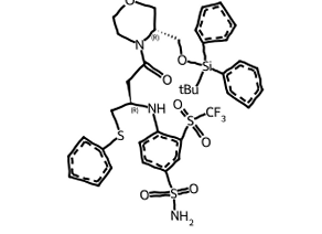 CC(C)(C)[Si](OC[C@H]1COCCN1C(=O)C[C@H](CSc1ccccc1)Nc1ccc(S(N)(=O)=O)cc1S(=O)(=O)C(F)(F)F)(c1ccccc1)c1ccccc1